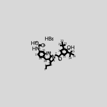 Br.CCCC1CN(CC(=O)c2cc(C(C)(C)C)c(O)c(C(C)(C)C)c2)C(=N)C1Cc1ccc(NC(=O)O)cc1